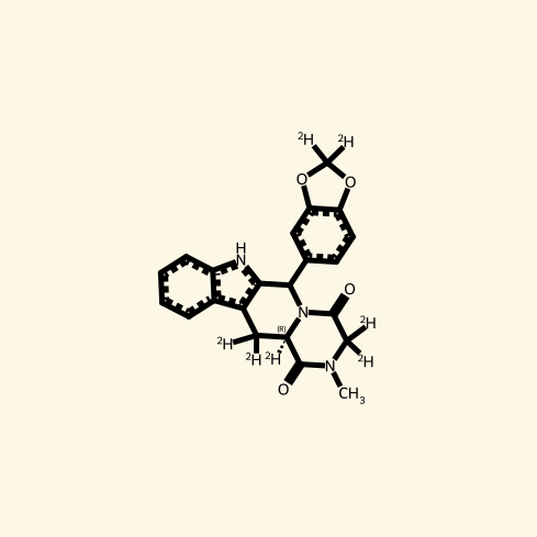 [2H]C1([2H])Oc2ccc(C3c4[nH]c5ccccc5c4C([2H])([2H])[C@]4([2H])C(=O)N(C)C([2H])([2H])C(=O)N34)cc2O1